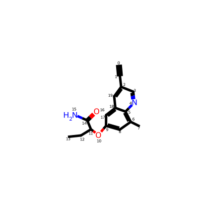 C#Cc1cnc2c(C)cc(OC(CC)C(N)=O)cc2c1